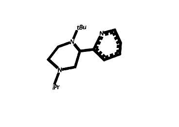 CC(C)N1CCN(C(C)(C)C)C(c2ccccn2)C1